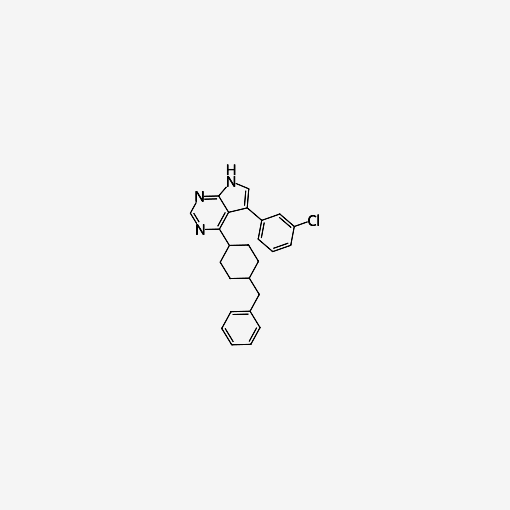 Clc1cccc(-c2c[nH]c3ncnc(C4CCC(Cc5ccccc5)CC4)c23)c1